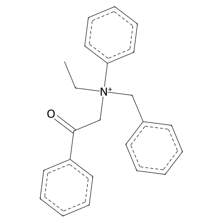 CC[N+](CC(=O)c1ccccc1)(Cc1ccccc1)c1ccccc1